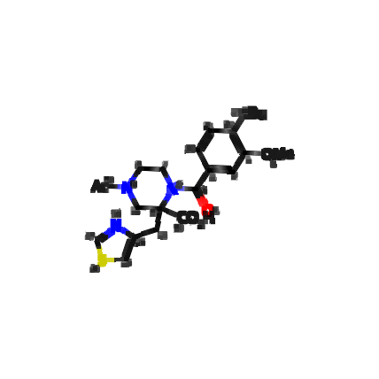 COc1cc(C(=O)N2CCN(C(C)=O)CC2(Cc2cscn2)C(=O)O)ccc1C(C)(C)C